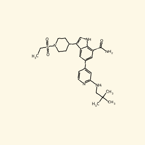 CCS(=O)(=O)N1CCC(c2c[nH]c3c(C(N)=O)cc(-c4ccnc(NCC(C)(C)C)c4)cc23)CC1